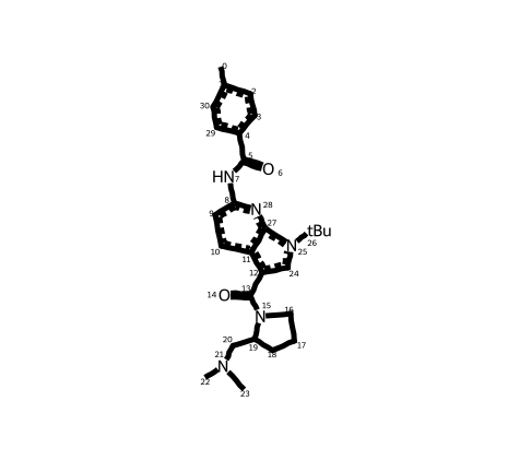 Cc1ccc(C(=O)Nc2ccc3c(C(=O)N4CCCC4CN(C)C)cn(C(C)(C)C)c3n2)cc1